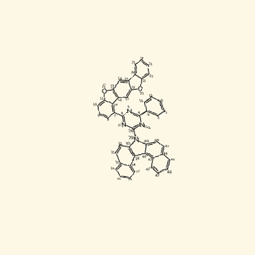 c1ccc(-c2nc(-c3cccc4oc5cc6c(cc5c34)oc3ccccc36)nc(-n3c4ccc5ccccc5c4c4c5ccccc5ccc43)n2)cc1